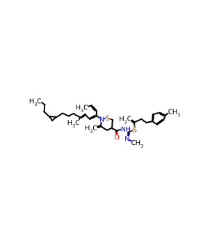 C=C(CCc1ccc(C)cc1)S/C(=N\C)NC(=O)C1CSN(C(/C=C\C)=C/C=C(\C)CCCC2CC2CCC)C(=C)C1